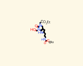 CCOC(=O)CN1Cc2cc(CCCNC(=O)OC(C)(C)C)[nH]c2N(CO)C1=O